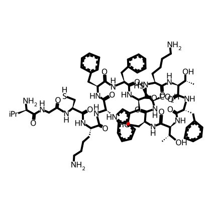 CC(C)[C@@H](N)C(=O)NCC(=O)N[C@@H](CS)C(=O)N[C@@H](CCCCN)C(=O)N[C@@H](C)C(=O)N[C@@H](Cc1ccccc1)C(=O)N[C@@H](Cc1ccccc1)C(=O)N[C@H](Cc1c[nH]c2ccccc12)C(=O)N[C@@H](CCCCN)C(=O)N[C@H](C(=O)N[C@H](Cc1ccccc1)C(=O)N[C@H](C(=O)N[C@@H](CO)C(=O)N[C@@H](CS)C(=O)O)[C@@H](C)O)[C@@H](C)O